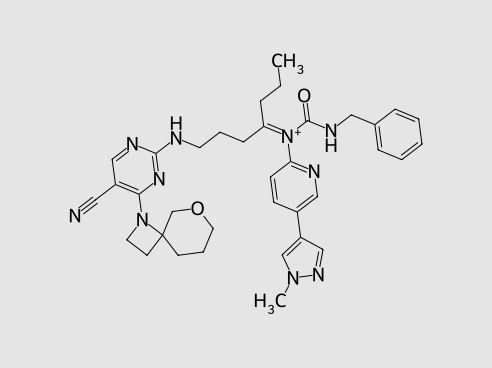 CCC/C(CCCNc1ncc(C#N)c(N2CCC23CCCOC3)n1)=[N+](\C(=O)NCc1ccccc1)c1ccc(-c2cnn(C)c2)cn1